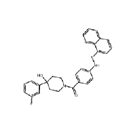 O=C(c1ccc(NSc2cccc3cccnc23)cc1)N1CCC(O)(c2cccc(F)c2)CC1